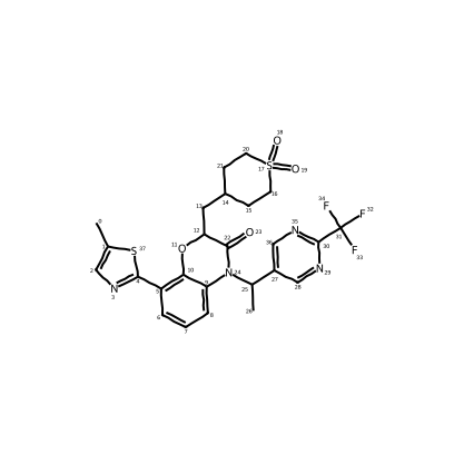 Cc1cnc(-c2cccc3c2OC(CC2CCS(=O)(=O)CC2)C(=O)N3C(C)c2cnc(C(F)(F)F)nc2)s1